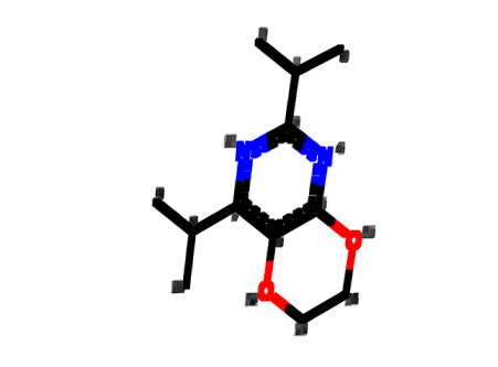 CC(C)c1nc2c(c(C(C)C)n1)OCCO2